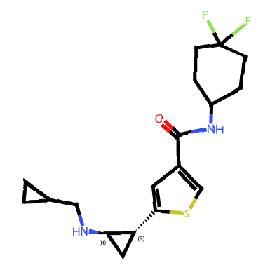 O=C(NC1CCC(F)(F)CC1)c1csc([C@@H]2C[C@H]2NCC2CC2)c1